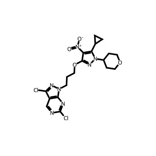 O=[N+]([O-])c1c(OCCCn2nc(Cl)c3cnc(Cl)nc32)nn(C2CCOCC2)c1C1CC1